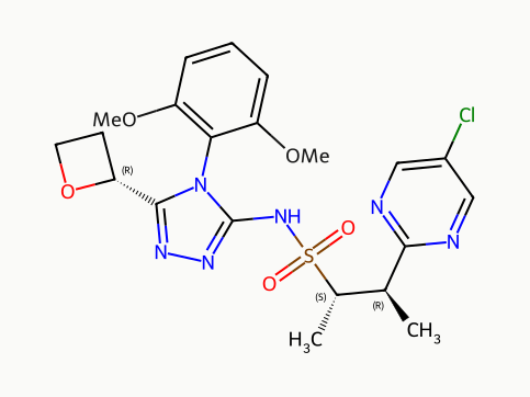 COc1cccc(OC)c1-n1c(NS(=O)(=O)[C@@H](C)[C@H](C)c2ncc(Cl)cn2)nnc1[C@H]1CCO1